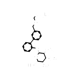 CCOC(=O)COCc1cccc(-c2ccccc2O[C@@H]2O[C@@H](C)[C@@H](OC(C)=O)[C@@H](OC(C)=O)[C@@H]2OC(C)=O)c1